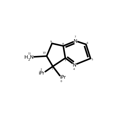 CC(C)C1(C(C)C)c2nccnc2CC1N